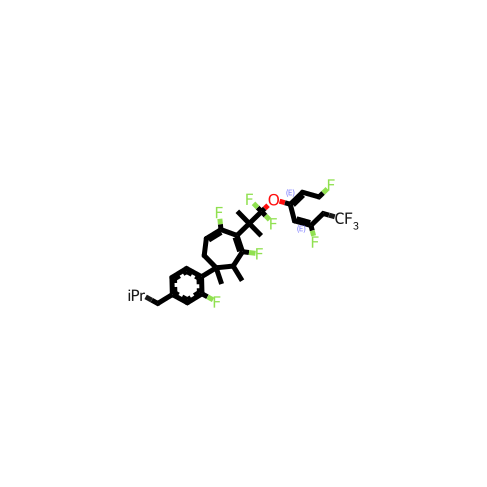 CC(C)Cc1ccc(C2(C)CC=C(F)C(C(C)(C)C(F)(F)OC(/C=C(/F)CC(F)(F)F)=C/CF)=C(F)C2C)c(F)c1